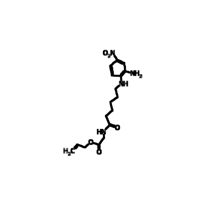 C=CCOC(=O)CNC(=O)CCCCCNc1ccc([N+](=O)[O-])cc1N